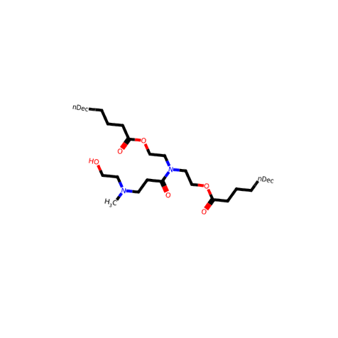 CCCCCCCCCCCCCC(=O)OCCN(CCOC(=O)CCCCCCCCCCCCC)C(=O)CCN(C)CCO